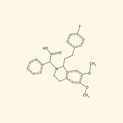 COc1cc2c(cc1OC)C(CCc1ccc(F)cc1)N(C(C(=O)O)c1ccccc1)CC2